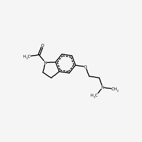 CC(=O)N1CCc2cc(OCCN(C)C)ccc21